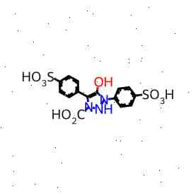 O=C(O)N1NN(c2ccc(S(=O)(=O)O)cc2)C(O)=C1c1ccc(S(=O)(=O)O)cc1